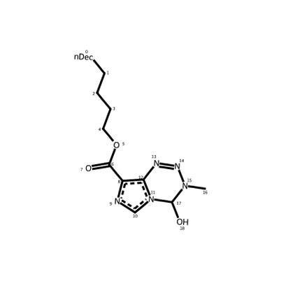 CCCCCCCCCCCCCCOC(=O)c1ncn2c1N=NN(C)C2O